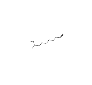 C=CCCCCCCC(C)CC